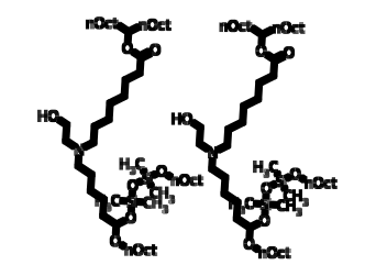 CCCCCCCCOC(CCCCCN(CCO)CCCCCCCC(=O)OC(CCCCCCCC)CCCCCCCC)O[Si](C)(C)O[Si](C)(C)OCCCCCCCC.CCCCCCCCOC(CCCCCN(CCO)CCCCCCCC(=O)OC(CCCCCCCC)CCCCCCCC)O[Si](C)(C)O[Si](C)(C)OCCCCCCCC